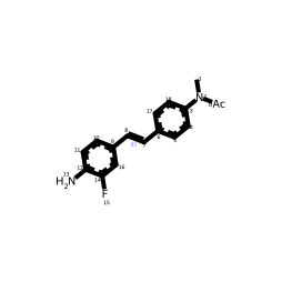 CC(=O)N(C)c1ccc(/C=C/c2ccc(N)c(F)c2)cc1